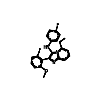 CCc1cccc2nc(-c3c(F)cccc3OC)c(Nc3ccc(F)cc3)n12